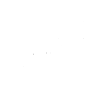 N[C@@H](CC(=O)O)C(=O)NCC(=O)OC1=CCC=CC1